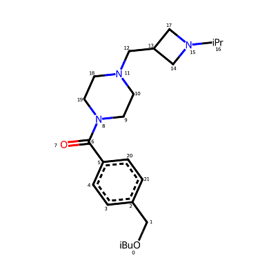 CC(C)COCc1ccc(C(=O)N2CCN(CC3CN(C(C)C)C3)CC2)cc1